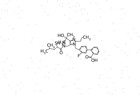 CCCc1nc(C(C)(C)O)c(CNC(=O)C(S)CC(C)C)n1Cc1ccc(-c2ccccc2C(=O)O)cc1F